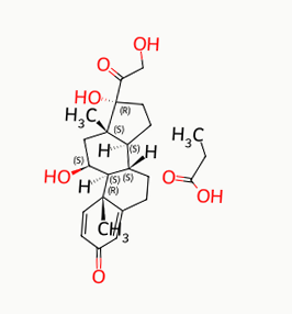 CCC(=O)O.C[C@]12C=CC(=O)C=C1CC[C@@H]1[C@@H]2[C@@H](O)C[C@@]2(C)[C@H]1CC[C@]2(O)C(=O)CO